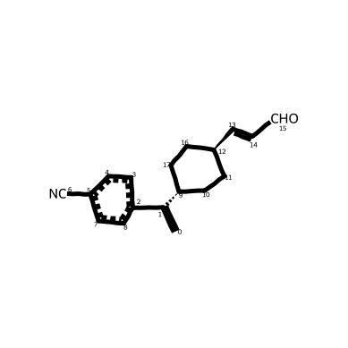 C=C(c1ccc(C#N)cc1)[C@H]1CC[C@H](/C=C/C=O)CC1